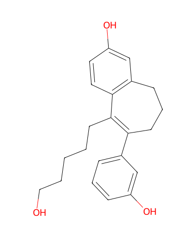 OCCCCCC1=C(c2cccc(O)c2)CCCc2cc(O)ccc21